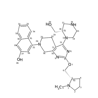 CN1CCC[C@H]1COc1nc2c(c(N3CCNC[C@H]3CO)n1)CCN(c1cc(O)cc3ccccc13)C2